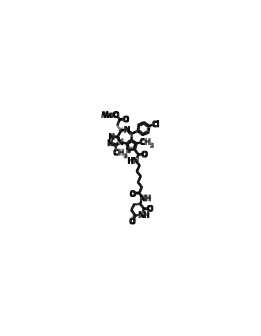 COC(=O)C[C@@H]1N=C(c2ccc(Cl)cc2)c2c(sc(C(=O)NCCCCCC(=O)NC3CCC(=O)NC3=O)c2C)-n2c(C)nnc21